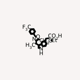 CCOC(Cc1ccc2[nH]cc(C(C)c3nc(-c4ccc(C(F)(F)F)cc4)oc3C)c2c1)C(=O)O